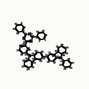 c1ccc(-c2nc(-c3ccccc3)nc(-c3nccc(-n4c5ccccc5c5cc(-c6ccc7c(c6)c6ccccc6n7-c6ccccc6)ccc54)n3)n2)cc1